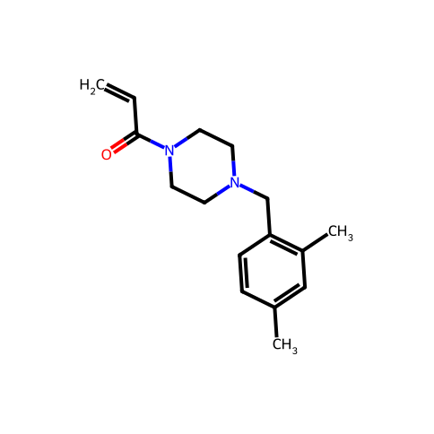 C=CC(=O)N1CCN(Cc2ccc(C)cc2C)CC1